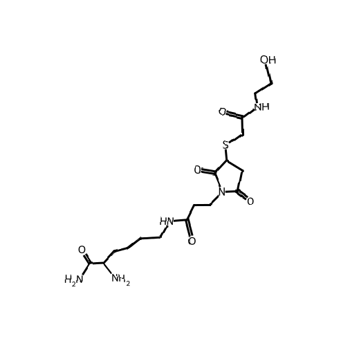 NC(=O)C(N)CCCCNC(=O)CCN1C(=O)CC(SCC(=O)NCCO)C1=O